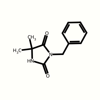 CC1(C)NC(=O)N(Cc2ccccc2)C1=O